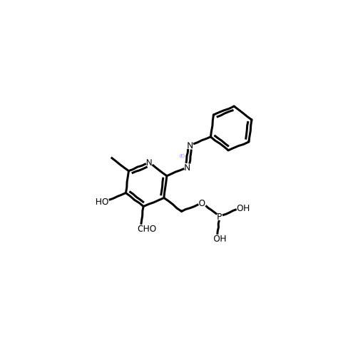 Cc1nc(/N=N/c2ccccc2)c(COP(O)O)c(C=O)c1O